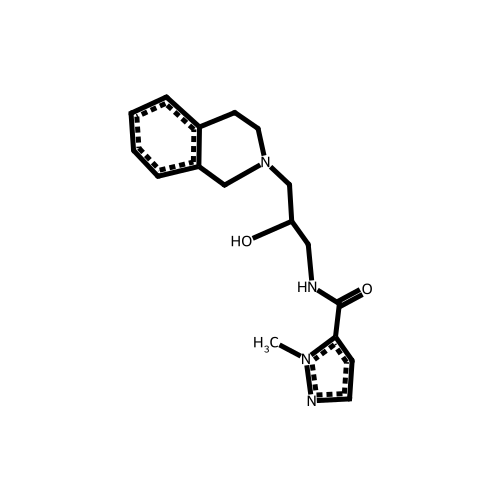 Cn1nccc1C(=O)NCC(O)CN1CCc2ccccc2C1